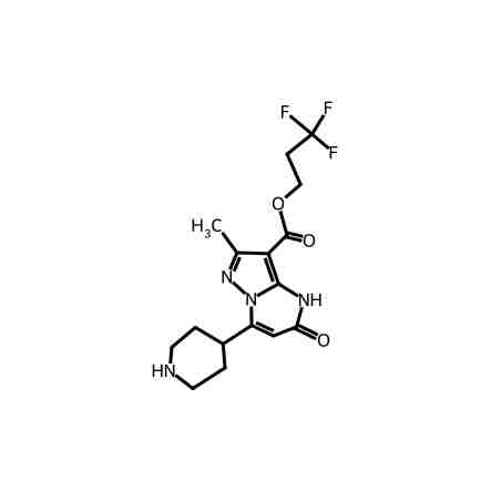 Cc1nn2c(C3CCNCC3)cc(=O)[nH]c2c1C(=O)OCCC(F)(F)F